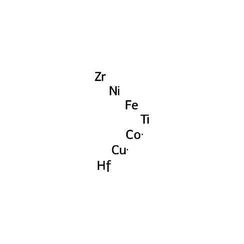 [Co].[Cu].[Fe].[Hf].[Ni].[Ti].[Zr]